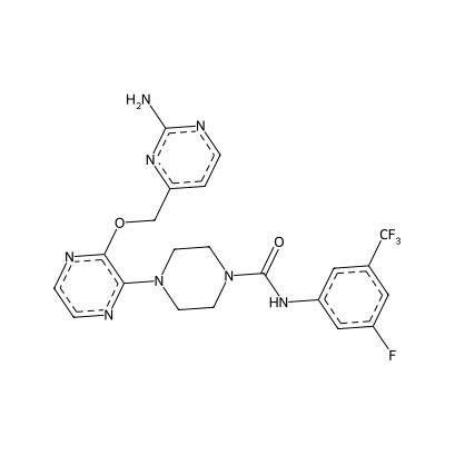 Nc1nccc(COc2nccnc2N2CCN(C(=O)Nc3cc(F)cc(C(F)(F)F)c3)CC2)n1